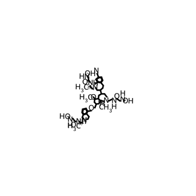 COC1CC(COCc2cccc3c2CCN(C[C@H](C)NC(=O)CNO)C3)C(C)[C@H]2CN(CCNC(=O)CNO)CCC(C3CCc4ccc(C#N)cc4CN(C[C@H](C)NC(=O)CNO)C3)CC12